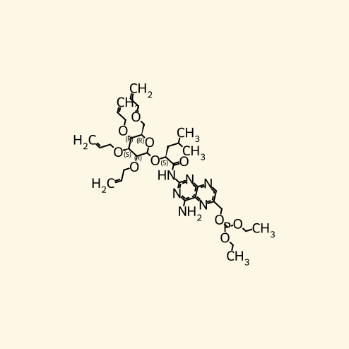 C=CCOC[C@H]1OC(O[C@@H](CC(C)C)C(=O)Nc2nc(N)c3nc(COP(OCC)OCC)cnc3n2)[C@H](OCC=C)[C@@H](OCC=C)[C@@H]1OCC=C